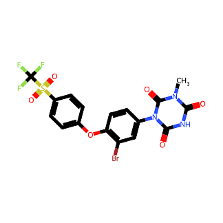 Cn1c(=O)[nH]c(=O)n(-c2ccc(Oc3ccc(S(=O)(=O)C(F)(F)F)cc3)c(Br)c2)c1=O